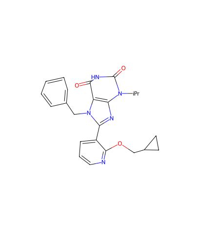 CC(C)n1c(=O)[nH]c(=O)c2c1nc(-c1cccnc1OCC1CC1)n2Cc1ccccc1